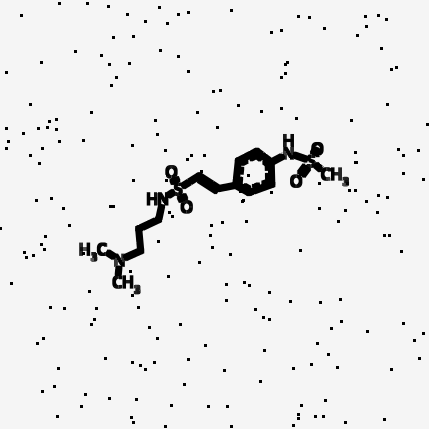 CN(C)CCCNS(=O)(=O)C=Cc1ccc(NS(C)(=O)=O)cc1